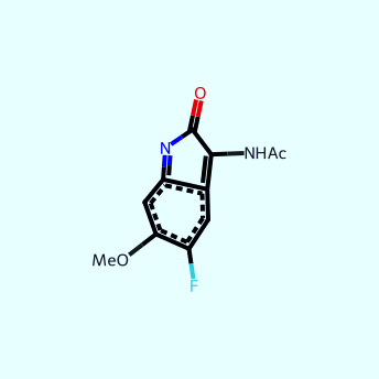 COc1cc2c(cc1F)=C(NC(C)=O)C(=O)N=2